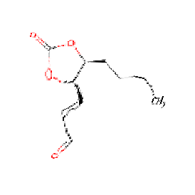 CCCC[C@@H]1OC(=O)O[C@@H]1/C=C/C=O